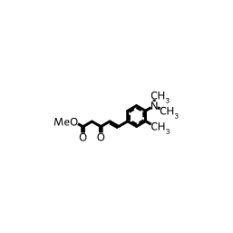 COC(=O)CC(=O)C=Cc1ccc(N(C)C)c(C)c1